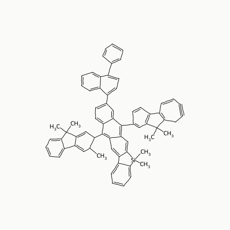 CC1C=C2C(=CC1c1c3ccc(-c4ccc(-c5ccccc5)c5ccccc45)cc3c(-c3ccc4c(c3)C(C)(C)C3=C4C=CC#CC3)c3cc4c(cc13)-c1ccccc1[Si]4(C)C)C(C)(C)c1ccccc12